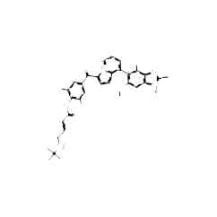 COc1cc2c(nc(C)n2C)c(Cl)c1-c1cccn2c(C(=O)c3cc(F)c(NC(=O)/C=C/CNC(C)(C)C)c(F)c3)ccc12